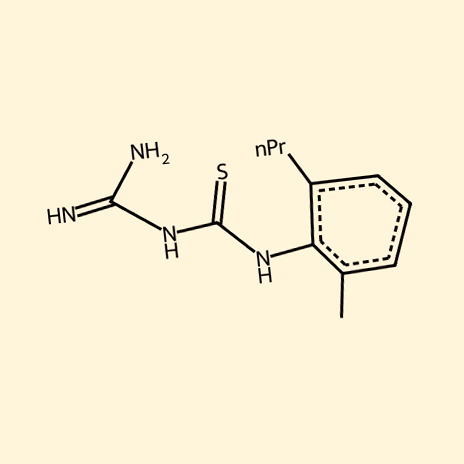 CCCc1cccc(C)c1NC(=S)NC(=N)N